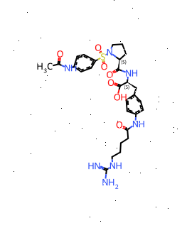 CC(=O)Nc1ccc(S(=O)(=O)N2CCC[C@H]2C(=O)N[C@@H](Cc2ccc(NC(=O)CCCCNC(=N)N)cc2)C(=O)O)cc1